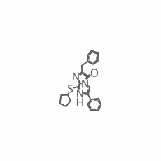 O=c1c(Cc2ccccc2)nc2c(SC3CCCC3)[nH]c(-c3ccccc3)cn1-2